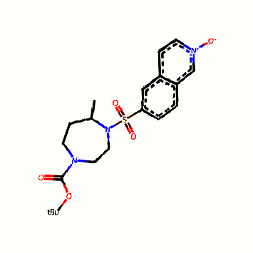 CC1CCN(C(=O)OC(C)(C)C)CCN1S(=O)(=O)c1ccc2c[n+]([O-])ccc2c1